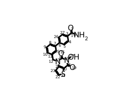 NC(=O)c1ccc(-c2cccc(Cn3c(=O)n(O)c(=O)c4sccc43)c2)cc1